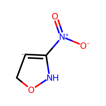 O=[N+]([O-])C1=[C]CON1